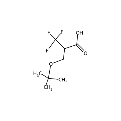 CC(C)(C)OCC(C(=O)O)C(F)(F)F